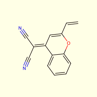 C=CC1=CC(=C(C#N)C#N)c2ccccc2O1